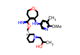 COc1ncc(NC2=C(C(=N)OC[C@H]3CCCN(CC(C)O)C3)CCOCC2)cc1C